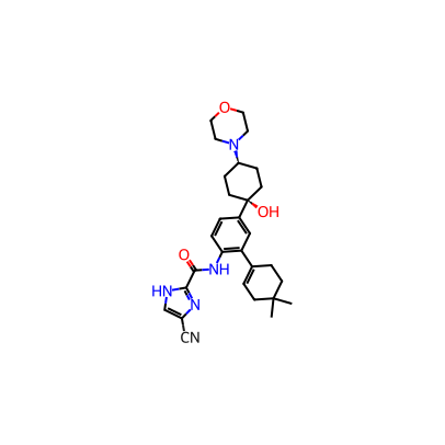 CC1(C)CC=C(c2cc([C@]3(O)CC[C@@H](N4CCOCC4)CC3)ccc2NC(=O)c2nc(C#N)c[nH]2)CC1